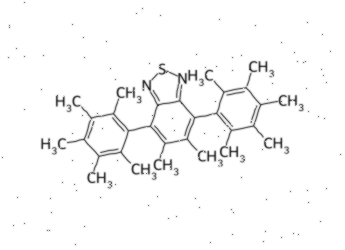 Cc1c(C)c(C)c(-c2c(C)c(C)c(-c3c(C)c(C)c(C)c(C)c3C)c3nsnc23)c(C)c1C